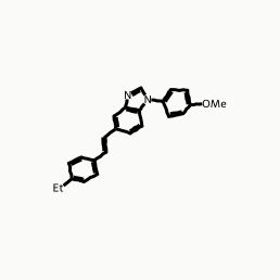 CCc1ccc(/C=C/c2ccc3c(c2)ncn3-c2ccc(OC)cc2)cc1